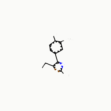 COc1cc(-c2nc(C)sc2CC(C)C)ccc1C